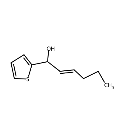 CCC/C=C/C(O)c1cccs1